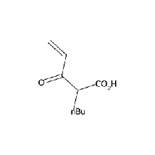 C=CC(=O)C(CCCC)C(=O)O